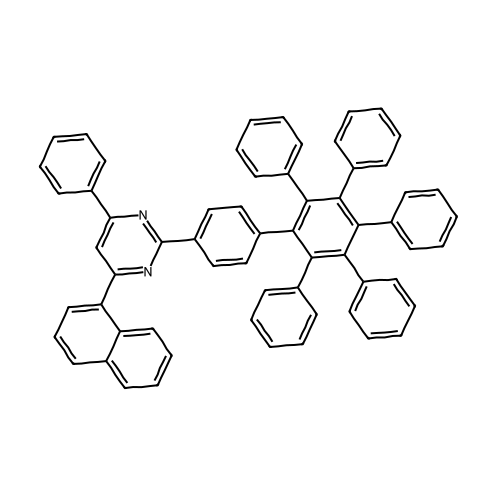 c1ccc(-c2cc(-c3cccc4ccccc34)nc(-c3ccc(-c4c(-c5ccccc5)c(-c5ccccc5)c(-c5ccccc5)c(-c5ccccc5)c4-c4ccccc4)cc3)n2)cc1